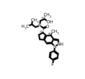 CC(C)CN(C[C@H](C)O)C(=O)[C@H]1CCC2=C1[C@@H](C)C1=CNN(c3ccc(F)cc3)C1=C2